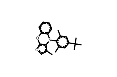 Cc1cc(C(C)(C)C)cc(C)c1N1c2ccccc2Oc2occ(C)c21